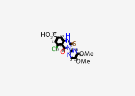 COc1cnc(-n2c(=S)[nH]c3cc(C(=O)O)cc(Cl)c3c2=O)nc1OC